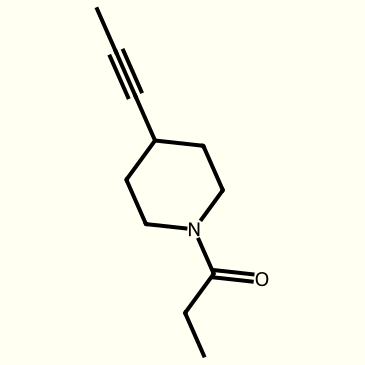 CC#CC1CCN(C(=O)CC)CC1